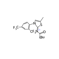 Cc1cn(-c2ccc(C(F)(F)F)cc2C(F)(F)F)/c(=N/C(=O)C(C)(C)C)s1